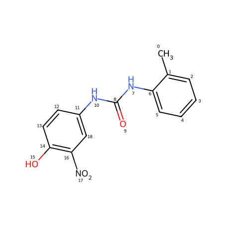 Cc1ccccc1NC(=O)Nc1ccc(O)c([N+](=O)[O-])c1